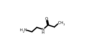 C[CH]C(=O)NCCN